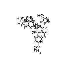 COCc1ccc2c(n1)CCN(C(=O)Cc1cc(O)no1)[C@H]2C(=O)Nc1cc(F)c([Si](C)(C)C)c(F)c1